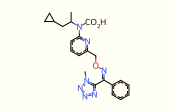 CC(CC1CC1)N(C(=O)O)c1cccc(CON=C(c2ccccc2)c2nnnn2C)n1